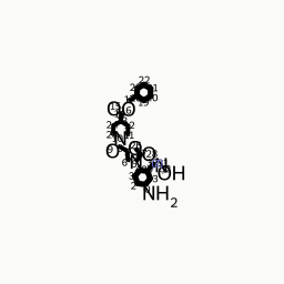 Nc1ccc(N2CC(C(=O)N3CCC(C(=O)OCc4ccccc4)CC3)OC2=O)c(/C=N\O)c1